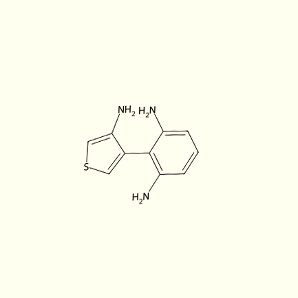 Nc1cscc1-c1c(N)cccc1N